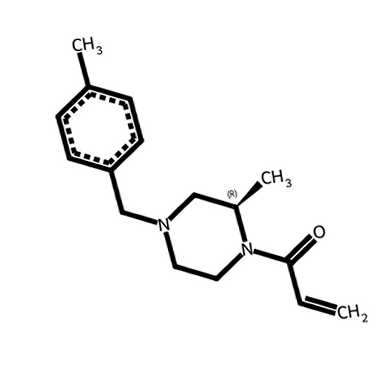 C=CC(=O)N1CCN(Cc2ccc(C)cc2)C[C@H]1C